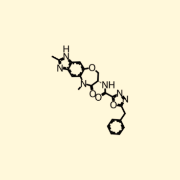 Cc1nc2cc3c(cc2[nH]1)OC[C@H](NC(=O)c1nnc(Cc2ccccc2)o1)C(=O)N3C